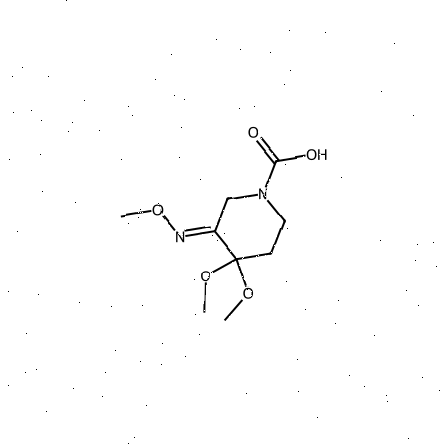 CON=C1CN(C(=O)O)CCC1(OC)OC